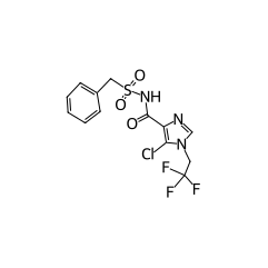 O=C(NS(=O)(=O)Cc1ccccc1)c1ncn(CC(F)(F)F)c1Cl